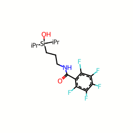 CC(C)[Si](O)(CCCNC(=O)c1c(F)c(F)c(F)c(F)c1F)C(C)C